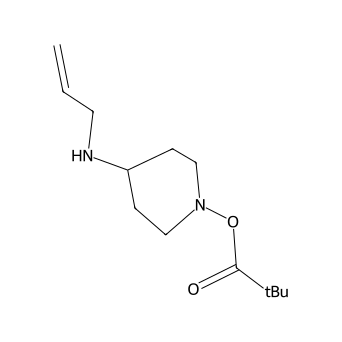 C=CCNC1CCN(OC(=O)C(C)(C)C)CC1